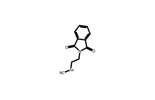 N#C[Se]CCN1C(=O)c2ccccc2C1=O